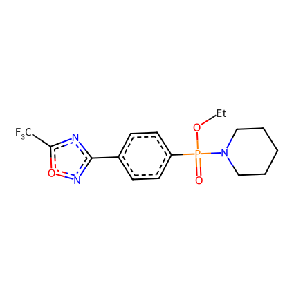 CCOP(=O)(c1ccc(-c2noc(C(F)(F)F)n2)cc1)N1CCCCC1